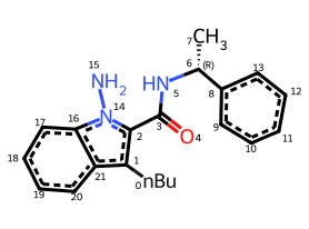 CCCCc1c(C(=O)N[C@H](C)c2ccccc2)n(N)c2ccccc12